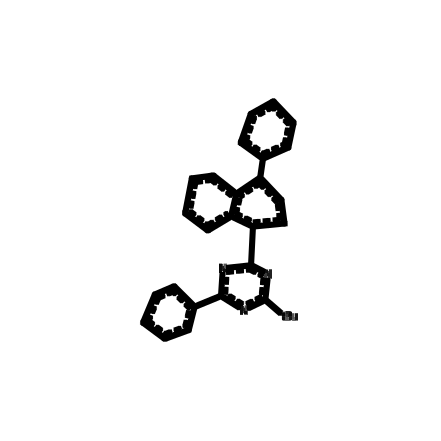 CC(C)(C)c1nc(-c2ccccc2)nc(-c2ccc(-c3ccccc3)c3ccccc23)n1